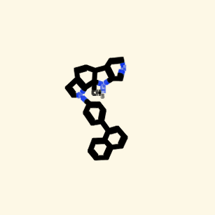 CC12Nc3cnccc3C1C=Cc1ccn(-c3ccc(-c4cccc5ccccc45)cc3)c12